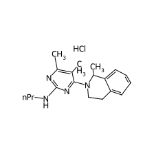 CCCNc1nc(C)c(C)c(N2CCc3ccccc3C2C)n1.Cl